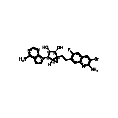 Nc1nc2cc(CC[C@@]34C[C@@H]3[C@@H](n3ccc5c(N)ncnc53)[C@H](O)[C@@H]4O)c(F)cc2cc1Br